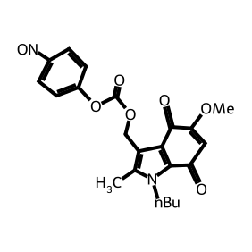 CCCCn1c(C)c(COC(=O)Oc2ccc(N=O)cc2)c2c1C(=O)C=C(OC)C2=O